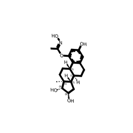 CC(=NO)Oc1cc(O)cc2c1[C@H]1CC[C@]3(C)[C@@H](O)[C@H](O)C[C@H]3[C@@H]1CC2